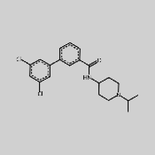 CC(C)N1CCC(NC(=O)c2cccc(-c3cc(Cl)cc(Cl)c3)c2)CC1